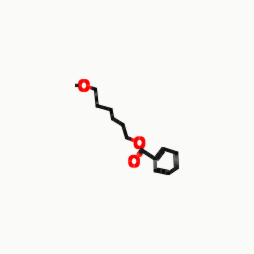 [O]CCCCCCOC(=O)c1ccccc1